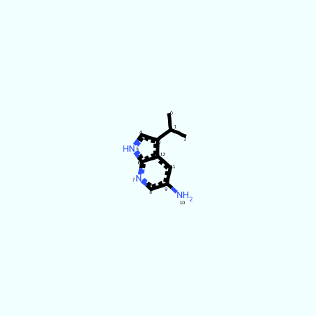 CC(C)c1c[nH]c2ncc(N)cc12